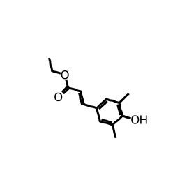 CCOC(=O)C=Cc1cc(C)c(O)c(C)c1